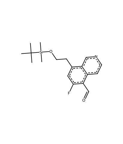 CC(C)(C)[Si](C)(C)OCCc1cc(F)c(C=O)c2ccncc12